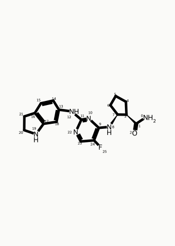 NC(=O)[C@@H]1CCC[C@@H]1Nc1nc(Nc2ccc3c(c2)NCC3)ncc1F